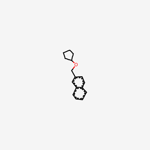 c1ccc2cc(COC3CCCC3)ccc2c1